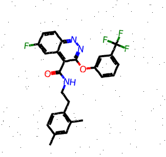 Cc1ccc(CCNC(=O)c2c(Oc3cccc(C(F)(F)F)c3)nnc3ccc(F)cc23)c(C)c1